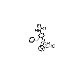 CCC(=O)Nc1ccc(OCC2(O)C3CCN(CC3)C2C=O)c(Cc2ccccc2)c1